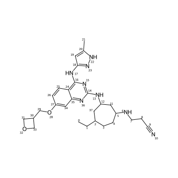 CCC1CCC(NCCC#N)CC(Nc2nc(Nc3cc(C)[nH]n3)c3ccc(OCC4COC4)cc3n2)C1